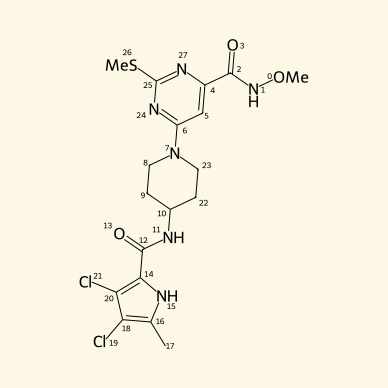 CONC(=O)c1cc(N2CCC(NC(=O)c3[nH]c(C)c(Cl)c3Cl)CC2)nc(SC)n1